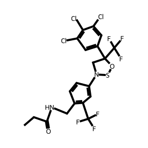 CCC(=O)NCc1ccc(N2CC(c3cc(Cl)c(Cl)c(Cl)c3)(C(F)(F)F)OS2)cc1C(F)(F)F